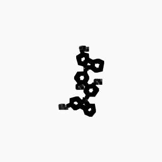 CC(C)(C)c1ccc2c(c1)c1ccccc1n2-c1ccc(C#N)c(-c2cc(-n3c4ccccc4c4cc(C(C)(C)C)ccc43)ccc2C#N)c1